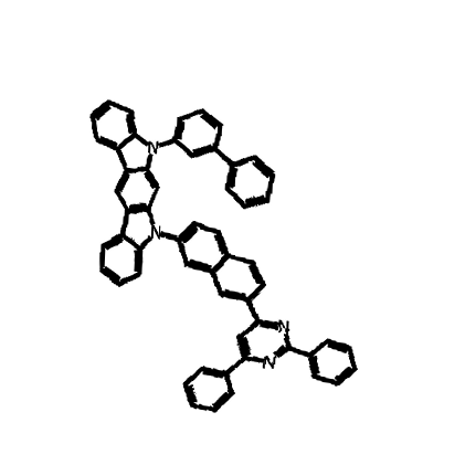 c1ccc(-c2cccc(-n3c4ccccc4c4cc5c6ccccc6n(-c6ccc7ccc(-c8cc(-c9ccccc9)nc(-c9ccccc9)n8)cc7c6)c5cc43)c2)cc1